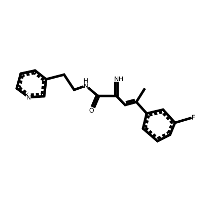 C/C(=C\C(=N)C(=O)NCCc1cccnc1)c1cccc(F)c1